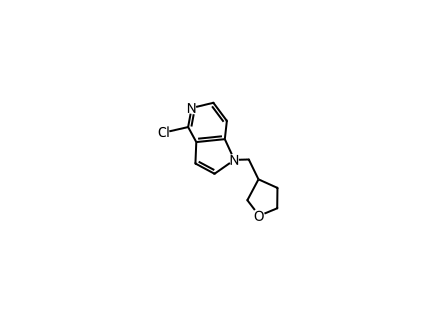 Clc1nccc2c1ccn2CC1CCOC1